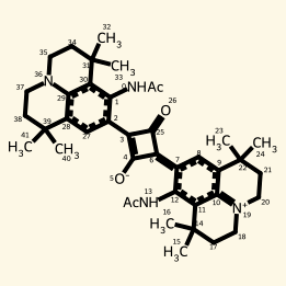 CC(=O)Nc1c(C2=C([O-])/C(=c3/cc4c5c(c3NC(C)=O)C(C)(C)CC[N+]=5CCC4(C)C)C2=O)cc2c3c1C(C)(C)CCN3CCC2(C)C